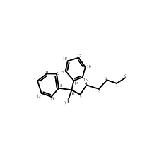 CCCCCCC(I)(c1ccccc1)c1ccccc1